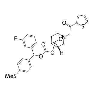 CSc1ccc(C(OC(=O)O[C@H]2C[N+]3(CC(=O)c4cccs4)CCC2CC3)c2cccc(F)c2)cc1